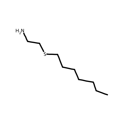 CCCCCCCSCCN